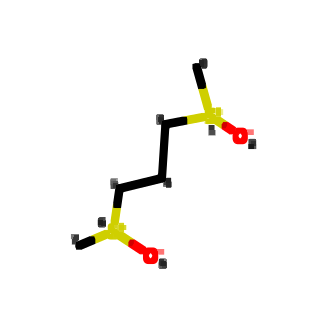 C[S+]([O-])CCC[S+](C)[O-]